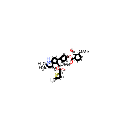 COC1=CC=CC(C(=O)Oc2ccc(-c3ccc4c(c3COC(=O)c3ccc(C)s3)C(C)=CC(C)(C)N4)c(OC)c2)C1=C=O